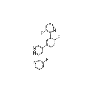 Fc1ccc(-c2cnnc(-c3ncccc3F)c2)cc1-c1ncccc1F